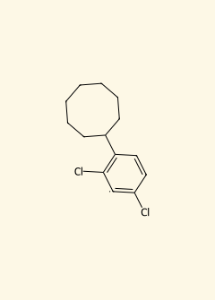 Clc1[c]c(Cl)c(C2CCCCCCC2)cc1